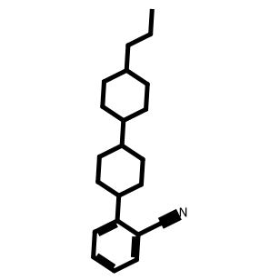 CCCC1CCC(C2CCC(c3ccccc3C#N)CC2)CC1